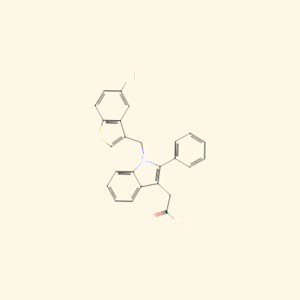 O=C(O)Cc1c(-c2ccccc2)n(Cc2csc3ccc(Cl)cc23)c2ccccc12